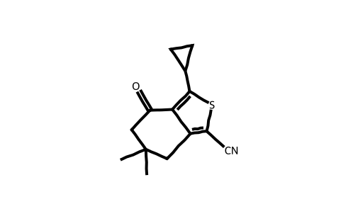 CC1(C)CC(=O)c2c(C3CC3)sc(C#N)c2C1